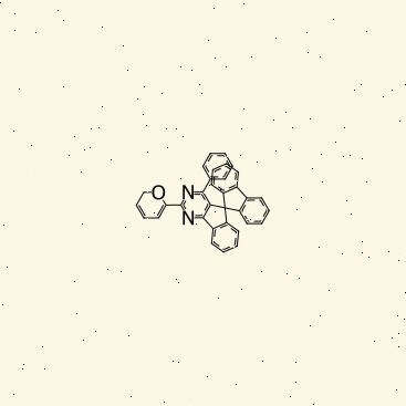 C1=CCOC(c2nc(-c3ccccc3)c3c(n2)-c2ccccc2C32c3ccccc3-c3ccccc32)=C1